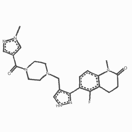 CN1C(=O)CCc2c1ccc(-c1n[nH]cc1CN1CCN(C(=O)c3cnn(C)c3)CC1)c2F